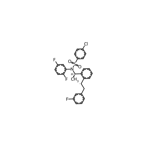 C[C@H](c1ccccc1[CH]Cc1cccc(F)c1)N(c1cc(F)ccc1F)S(=O)(=O)c1ccc(Cl)cc1